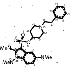 CNc1ccc2c(c1)c(S(=O)(=O)OC1CCN(CCc3ccccc3)CC1)c(NC)n2NC